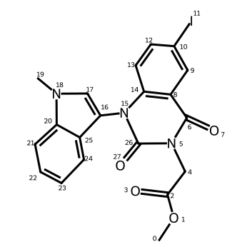 COC(=O)Cn1c(=O)c2cc(I)ccc2n(-c2cn(C)c3ccccc23)c1=O